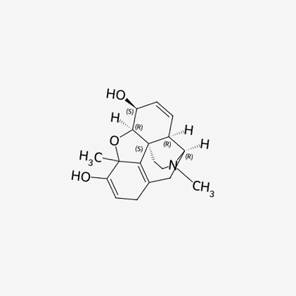 CN1CC[C@]23C4=C5CC=C(O)C4(C)O[C@H]2[C@@H](O)C=C[C@H]3[C@H]1C5